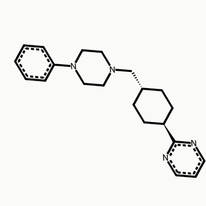 c1ccc(N2CCN(C[C@H]3CC[C@H](c4ncccn4)CC3)CC2)cc1